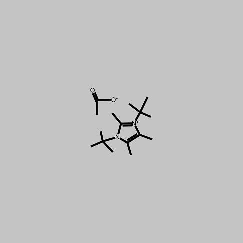 CC(=O)[O-].Cc1c(C)[n+](C(C)(C)C)c(C)n1C(C)(C)C